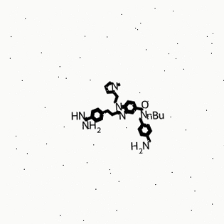 CCCCN(Cc1ccc(CN)cc1)C(=O)c1ccc2c(c1)nc(CCc1ccc(C(=N)N)cc1)n2CCC1CCCN1C